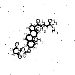 CC(C)CCC[C@@H](C)C1CCC2C3=CC=C4C[C@@H](OC(=O)ON5C(=O)CCC5=O)CC[C@]4(C)C3CC[C@@]21C